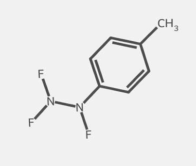 Cc1ccc(N(F)N(F)F)cc1